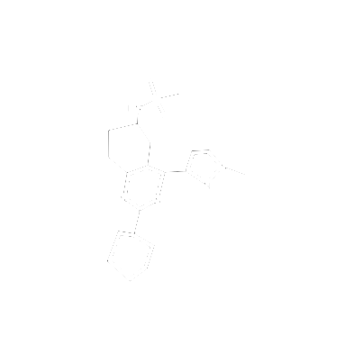 Cn1ccc(-c2nc(-c3ccccc3)nc3c2CC(NS(C)(=O)=O)CC3)n1